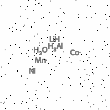 O.[AlH3].[Co].[LiH].[Mn].[Ni]